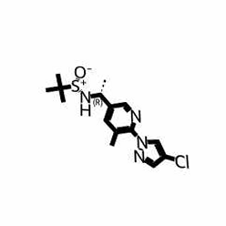 Cc1cc([C@@H](C)N[S+]([O-])C(C)(C)C)cnc1-n1cc(Cl)cn1